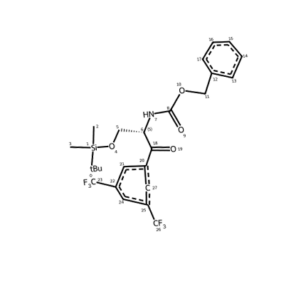 CC(C)(C)[Si](C)(C)OC[C@H](NC(=O)OCc1ccccc1)C(=O)c1cc(C(F)(F)F)cc(C(F)(F)F)c1